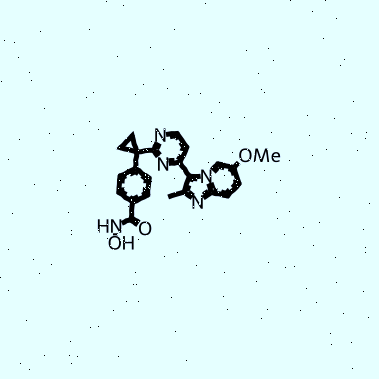 COc1ccc2nc(C)c(-c3ccnc(C4(c5ccc(C(=O)NO)cc5)CC4)n3)n2c1